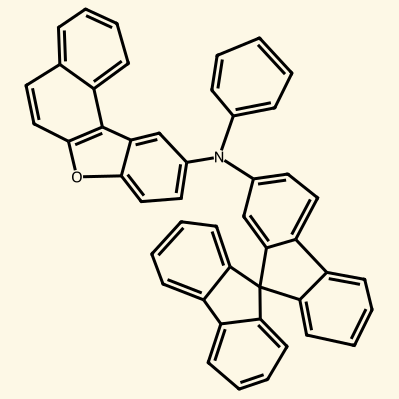 c1ccc(N(c2ccc3c(c2)C2(c4ccccc4-c4ccccc42)c2ccccc2-3)c2ccc3oc4ccc5ccccc5c4c3c2)cc1